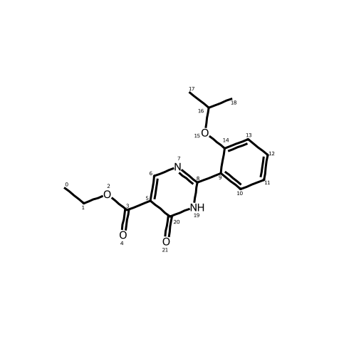 CCOC(=O)c1cnc(-c2ccccc2OC(C)C)[nH]c1=O